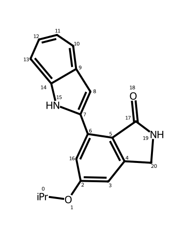 CC(C)Oc1cc2c(c(-c3cc4ccccc4[nH]3)c1)C(=O)NC2